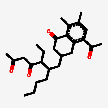 CCCCC(CC1CC(=O)c2c(C)c(C)cc(C(C)=O)c2C1)C(CC)C(=O)CC(C)=O